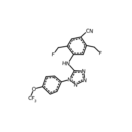 N#Cc1cc(CF)c(Nc2nnnn2-c2ccc(OC(F)(F)F)cc2)cc1CF